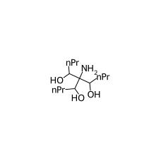 CCCC(O)C(N)(C(O)CCC)C(O)CCC